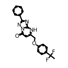 CC(F)(F)c1ccc(OCc2cc(=O)n3nc(-c4ccccc4)nc3[nH]2)cc1